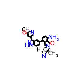 COc1cncc(-c2n[nH]c3ccc(-c4ccc(N)c5c4CN(CC(C)(C)C#N)C5=O)cc23)c1